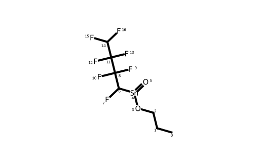 CCC[O][Sn](=[O])[CH](F)C(F)(F)C(F)(F)C(F)F